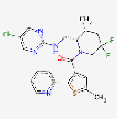 Cc1cc(C(=O)N2CC(F)(F)C[C@@H](C)[C@H]2CNc2ncc(Cl)cn2)c(-c2ccccn2)s1